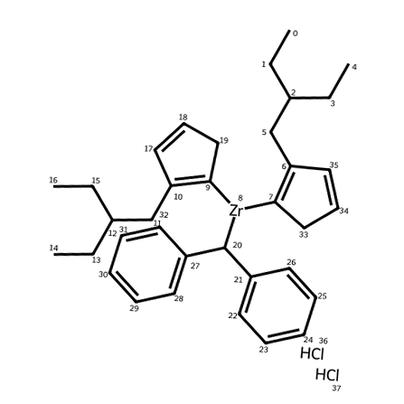 CCC(CC)CC1=[C]([Zr]([C]2=C(CC(CC)CC)C=CC2)[CH](c2ccccc2)c2ccccc2)CC=C1.Cl.Cl